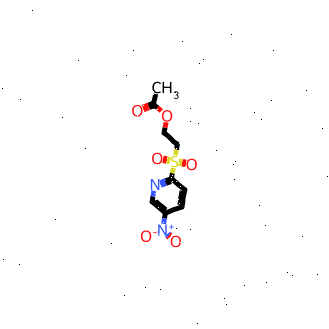 CC(=O)OCCS(=O)(=O)c1ccc([N+](=O)[O-])cn1